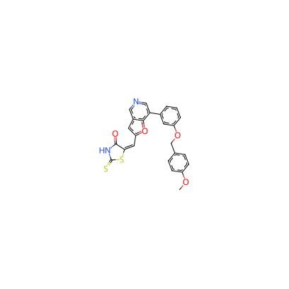 COc1ccc(COc2cccc(-c3cncc4cc(C=C5SC(=S)NC5=O)oc34)c2)cc1